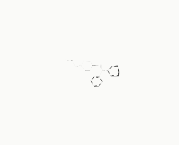 NCCN1CCC(NC(c2ccccc2)c2ccccc2)CC1